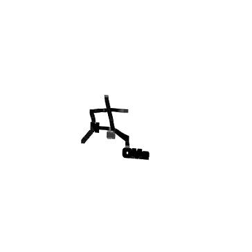 COC[C@H]1N(C)CC1(C)C